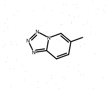 Cc1ccc2nnnn2c1